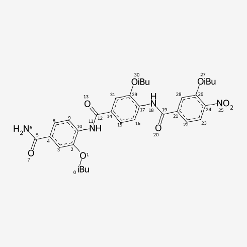 CCC(C)Oc1cc(C(N)=O)ccc1NC(=O)c1ccc(NC(=O)c2ccc([N+](=O)[O-])c(OCC(C)C)c2)c(OCC(C)C)c1